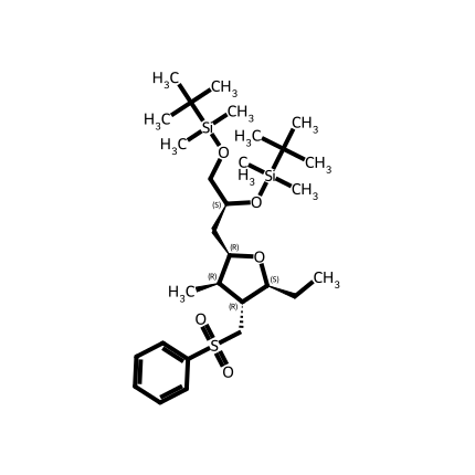 CC[C@@H]1O[C@H](C[C@@H](CO[Si](C)(C)C(C)(C)C)O[Si](C)(C)C(C)(C)C)[C@H](C)[C@H]1CS(=O)(=O)c1ccccc1